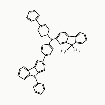 CC1(C)c2ccccc2-c2ccc(N(c3ccc(-c4ccc5c(c4)c4ccccc4n5-c4ccccc4)cc3)C3CC=C(c4cccnc4)CC3)cc21